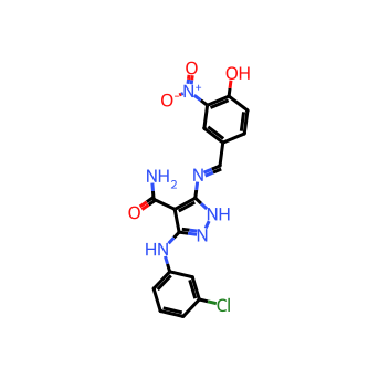 NC(=O)c1c(Nc2cccc(Cl)c2)n[nH]c1N=Cc1ccc(O)c([N+](=O)[O-])c1